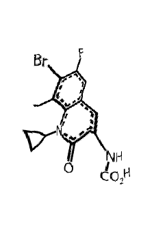 Cc1c(Br)c(F)cc2cc(NC(=O)O)c(=O)n(C3CC3)c12